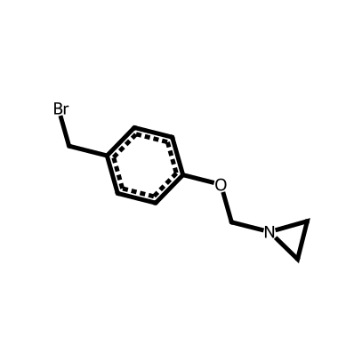 BrCc1ccc(OCN2CC2)cc1